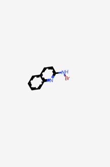 BrNc1ccc2ccccc2n1